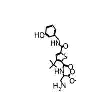 COC(=O)C(CN)NC(=O)c1sc(C(=O)NCc2cccc(O)c2)cc1C(C)(C)C